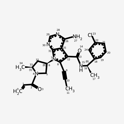 C=CC(=O)N1C[C@H](n2c(C#CC)c(C(=O)N[C@H](C)c3cccc(Cl)c3)c3c(N)ncnc32)C[C@@H]1C